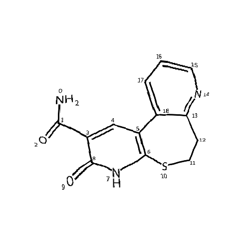 NC(=O)c1cc2c([nH]c1=O)SCCc1ncccc1-2